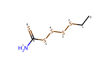 CCSSSSC(N)=S